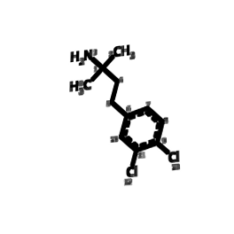 CC(C)(N)CCc1ccc(Cl)c(Cl)c1